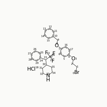 BrCCOc1ccc(OCc2ccccc2)cc1.Cl.FC(F)(F)C(c1ccccc1)C1CCNCC1